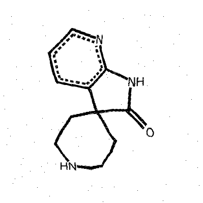 O=C1Nc2ncccc2C12CCNCC2